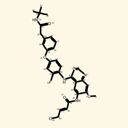 COc1cc2ncnc(Nc3ccc(Oc4cccc(CC(=O)NC(C)(C)C)c4)cc3F)c2cc1NC(=O)/C=C/CCl